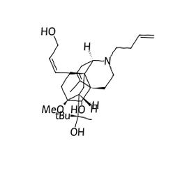 C=CCCN1CC[C@@]23C(C)=C(/C=C\CO)C[C@@H]1[C@]21CC[C@](OC)([C@@H]([C@](C)(O)C(C)(C)C)C1)[C@@H]3O